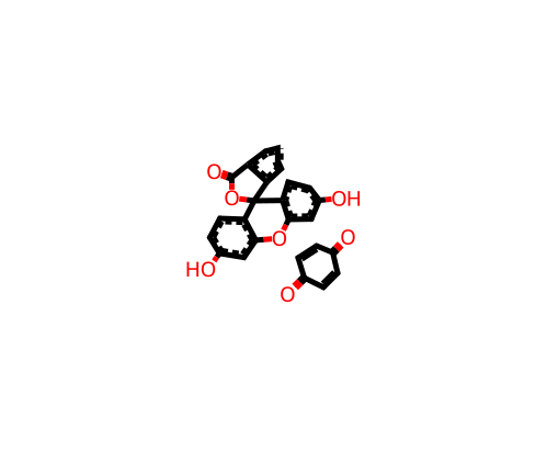 O=C1C=CC(=O)C=C1.O=C1OC2(c3ccc(O)cc3Oc3cc(O)ccc32)c2ccccc21